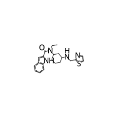 CCN(C(=O)c1cc2ccccc2[nH]1)C1CCCC(NCc2nccs2)C1